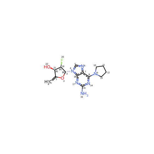 C=C1O[C@@H](n2cnc3c(N4CCCC4)nc(N)nc32)[C@H](F)[C@@H]1O